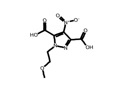 COCCn1nc(C(=O)O)c([N+](=O)[O-])c1C(=O)O